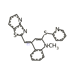 CN1C(Sc2ccccn2)=C/C(=C\c2nc3ncccc3s2)c2ccccc21